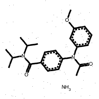 COc1cccc(N(C(C)=O)c2ccc(C(=O)N(C(C)C)C(C)C)cc2)c1.N